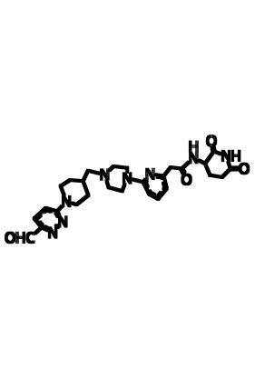 O=Cc1ccc(N2CCC(CN3CCN(c4cccc(CC(=O)NC5CCC(=O)NC5=O)n4)CC3)CC2)nn1